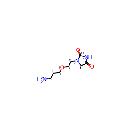 NCCCOCCN1CC(=O)NC1=O